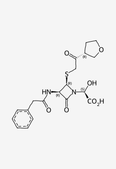 O=C(Cc1ccccc1)N[C@@H]1C(=O)N([C@@H](O)C(=O)O)[C@@H]1SCC(=O)[C@@H]1CCOC1